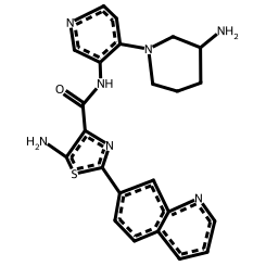 Nc1sc(-c2ccc3cccnc3c2)nc1C(=O)Nc1cnccc1N1CCCC(N)C1